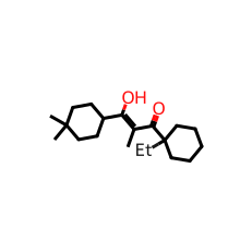 CCC1(C(=O)/C(C)=C(\O)C2CCC(C)(C)CC2)CCCCC1